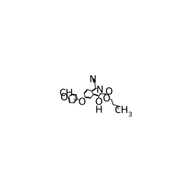 CCCCOC(=O)c1nc(C#N)c2ccc(Oc3ccc(OC)cc3)cc2c1O